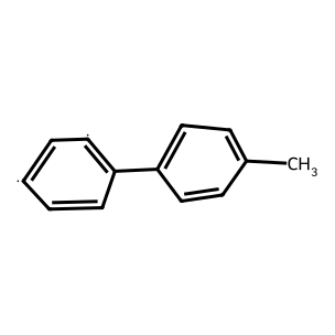 Cc1ccc(-c2[c]c[c]cc2)cc1